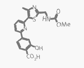 COC(=O)NCc1nc(C)c(-c2cccc(-c3ccc(C(=O)O)c(O)c3)n2)s1